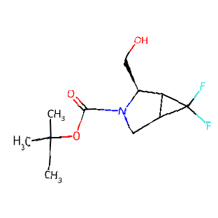 CC(C)(C)OC(=O)N1CC2C([C@@H]1CO)C2(F)F